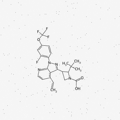 C=Cc1ccnc2c1c(C1CN(C(=O)O)C1C(C)(C)C)nn2-c1ccc(OC(F)(F)F)cc1F